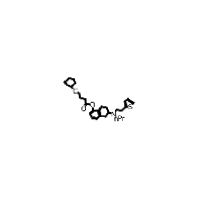 CCCN(CCc1cccs1)C1CCc2c(cccc2OC(=O)CCCCC2CCCCC2)C1